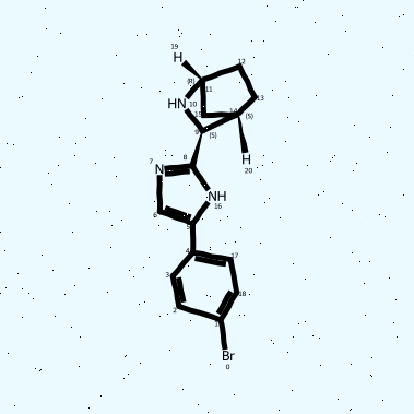 Brc1ccc(-c2cnc([C@H]3N[C@@H]4CC[C@H]3C4)[nH]2)cc1